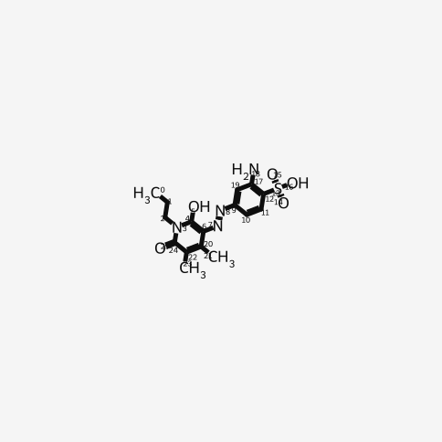 CCCn1c(O)c(N=Nc2ccc(S(=O)(=O)O)c(N)c2)c(C)c(C)c1=O